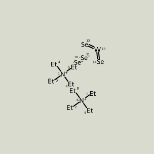 CC[N+](CC)(CC)CC.CC[N+](CC)(CC)CC.[Se-].[Se-].[Se]=[W]=[Se]